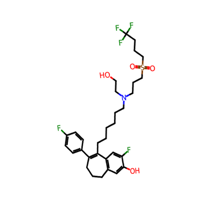 O=S(=O)(CCCN(CCO)CCCCCCC1=C(c2ccc(F)cc2)CCCc2cc(O)c(F)cc21)CCCC(F)(F)F